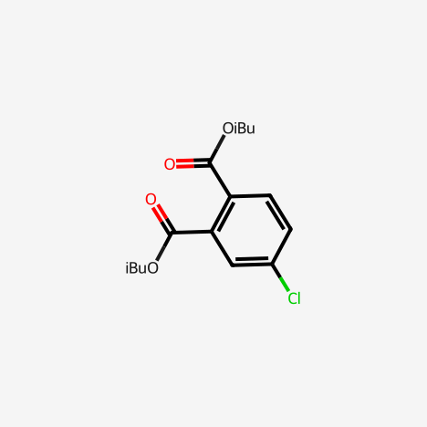 CC(C)COC(=O)c1ccc(Cl)cc1C(=O)OCC(C)C